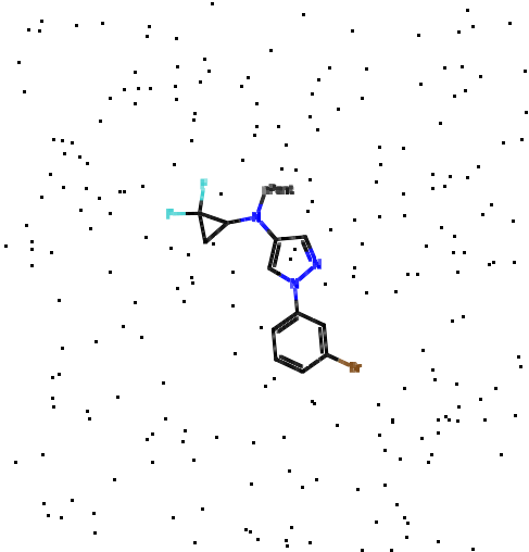 CCCCCN(c1cnn(-c2cccc(Br)c2)c1)C1CC1(F)F